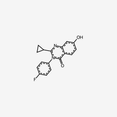 O=c1c2ccc(O)cc2nc(C2CC2)n1-c1ccc(F)cc1